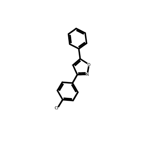 Clc1ccc(-c2[c]c(-c3ccccc3)on2)cc1